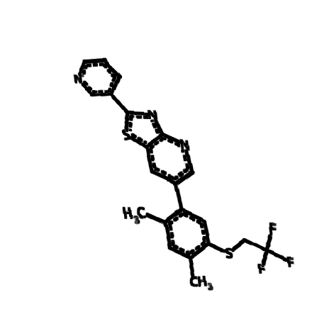 Cc1cc(C)c(-c2cnc3nc(-c4cccnc4)sc3c2)cc1SCC(F)(F)F